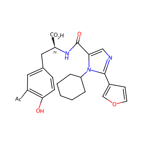 CC(=O)c1cc(C[C@H](NC(=O)c2cnc(-c3ccoc3)n2C2CCCCC2)C(=O)O)ccc1O